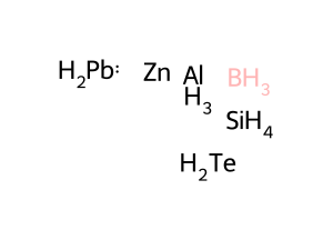 B.[AlH3].[PbH2].[SiH4].[TeH2].[Zn]